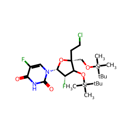 CC(C)(C)[Si](C)(C)OC[C@@]1(CCCl)O[C@@H](n2cc(F)c(=O)[nH]c2=O)[C@@H](F)C1O[Si](C)(C)C(C)(C)C